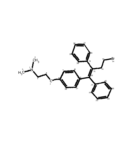 CN(C)CCOc1ccc(C(=C(CCBr)c2ccccc2)c2ccccc2)cc1